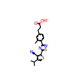 Cc1cc(CCC(=O)O)ccc1-c1nsc(-c2scc(C(C)C)c2C#N)n1